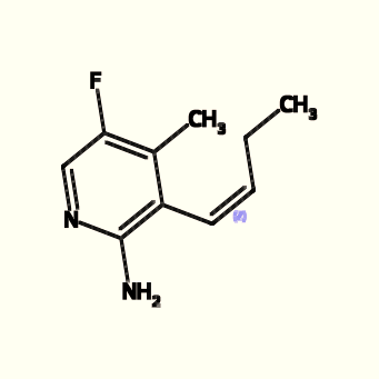 CC/C=C\c1c(N)ncc(F)c1C